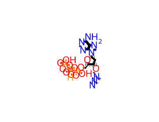 [N-]=[N+]=NCO[C@@H]1C[C@H](n2cnc3c(N)ncnc32)O[C@@H]1CO[PH]1(O)OO[PH]2(OOP(=O)(O)O2)O1